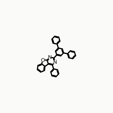 c1ccc(-c2cc(-c3ccccc3)cc(-c3nc(-c4ccccc4)c4c(n3)oc3ccccc34)c2)cc1